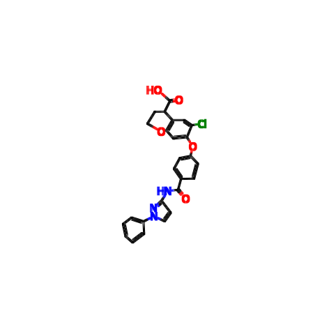 O=C(Nc1ccn(-c2ccccc2)n1)c1ccc(Oc2cc3c(cc2Cl)C(C(=O)O)CCO3)cc1